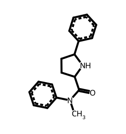 CN(C(=O)C1CCC(c2ccccc2)N1)c1ccccc1